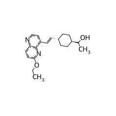 CCOc1ccc2nccc(C=C[C@H]3CC[C@H](C(C)O)CC3)c2n1